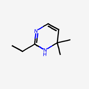 CCC1=NC=CC(C)(C)N1